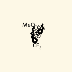 COC(=O)CCCc1cc2cc(C(F)(F)F)ccc2n1S(=O)(=O)c1ccc2nc(C)sc2c1